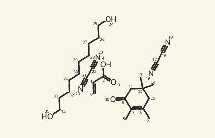 C=CC(=O)O.CC1=C(C)C(=O)CC(C)(C)C1.N#CC#N.N#CC#N.OCCCCCCCCCCO